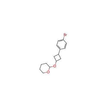 Brc1ccc(C2CC(OC3CCCCO3)C2)cc1